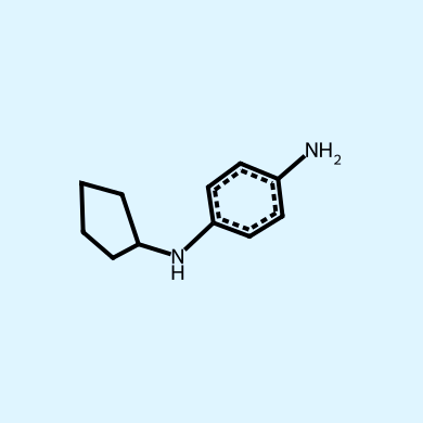 Nc1ccc(NC2CCCC2)cc1